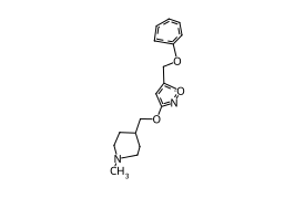 CN1CCC(COc2cc(COc3ccccc3)on2)CC1